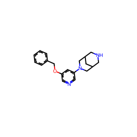 c1ccc(COc2cncc(N3CC4CNCC(C4)C3)c2)cc1